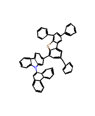 c1ccc(-c2cc(-c3ccccc3)c3sc4c(-c5ccc6c7ccccc7n(-c7cc8ccccc8c8ccccc78)c6c5)cc(-c5ccccc5)cc4c3c2)cc1